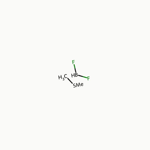 CSC.FBF